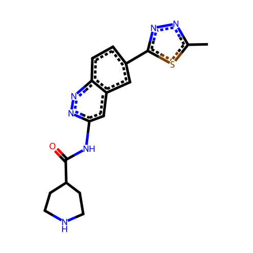 Cc1nnc(-c2ccc3nnc(NC(=O)C4CCNCC4)cc3c2)s1